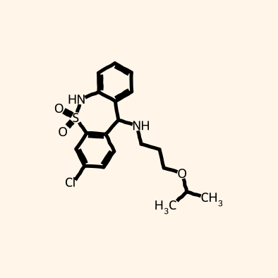 CC(C)OCCCNC1c2ccccc2NS(=O)(=O)c2cc(Cl)ccc21